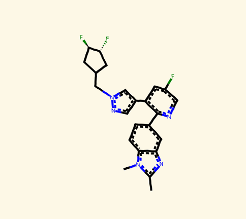 Cc1nc2cc(-c3ncc(F)cc3-c3cnn(CC4C[C@@H](F)[C@H](F)C4)c3)ccc2n1C